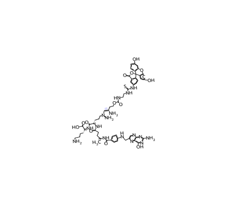 C[C@H](CCC(=O)N[C@@H](CCCN(N)/C=C(\N)CCOC(=O)NCCNC(=S)Nc1ccc2c(c1)C(=O)OC21c2ccc(O)cc2Oc2cc(O)ccc21)C(=O)N[C@H](CCCCN)C(=O)O)NC(=O)c1ccc(NCc2cnc3nc(N)nc(O)c3n2)cc1